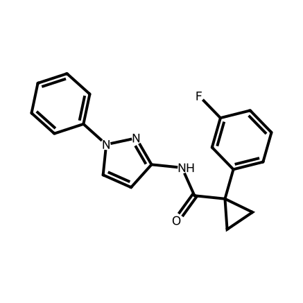 O=C(Nc1ccn(-c2ccccc2)n1)C1(c2cccc(F)c2)CC1